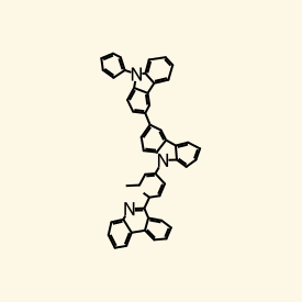 CC/C=C(\C=C/C(C)c1nc2ccccc2c2ccccc12)n1c2ccccc2c2cc(-c3ccc4c(c3)c3ccccc3n4-c3ccccc3)ccc21